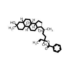 C=C[C@](C)(CC[C@@H](C)[C@H]1CC[C@H]2[C@@H]3CC[C@H]4C[C@@](C)(O)CC[C@]4(C)[C@H]3CC[C@]12C)OC(=O)c1ccccc1